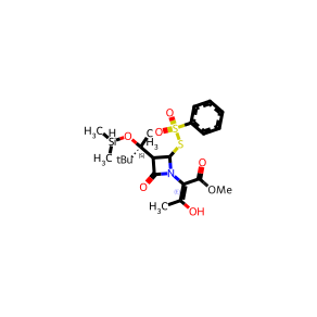 COC(=O)/C(=C(/C)O)N1C(=O)C([C@](C)(O[SiH](C)C)C(C)(C)C)C1SS(=O)(=O)c1ccccc1